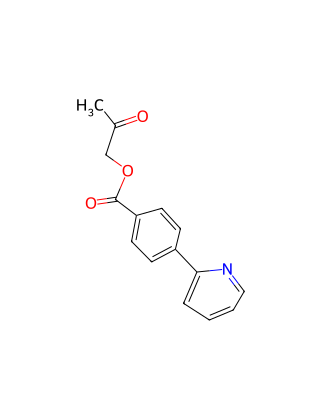 CC(=O)COC(=O)c1ccc(-c2ccccn2)cc1